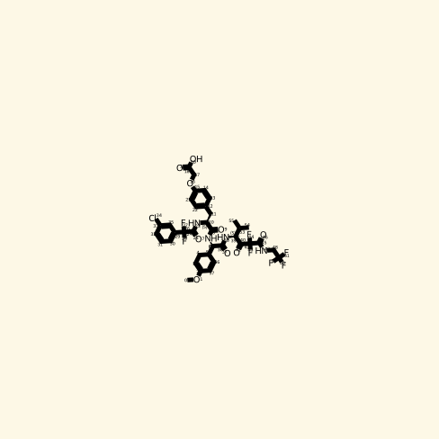 COC1=CCC([C@H](NC(=O)[C@H](Cc2ccc(OCC(=O)O)cc2)NC(=O)C(F)(F)c2cccc(Cl)c2)C(=O)N[C@H](C(=O)C(F)(F)C(=O)NCC(F)(F)F)C(C)C)C=C1